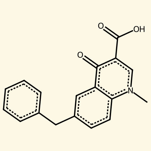 Cn1cc(C(=O)O)c(=O)c2cc(Cc3ccccc3)ccc21